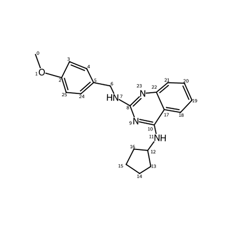 COc1ccc(CNc2nc(NC3CCCC3)c3ccccc3n2)cc1